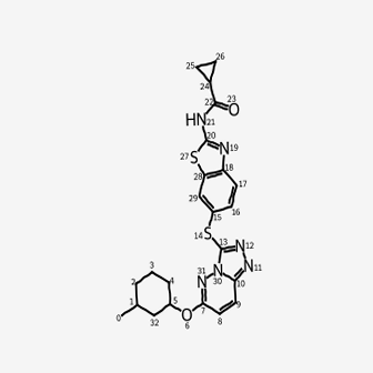 CC1CCCC(Oc2ccc3nnc(Sc4ccc5nc(NC(=O)C6CC6)sc5c4)n3n2)C1